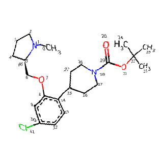 CN1CCC[C@@H]1COc1cc(Cl)ccc1C1CCN(C(=O)OC(C)(C)C)CC1